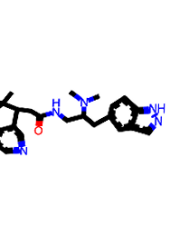 CN(C)C(CNC(=O)CC(c1cccnc1)C1(C)CC1)Cc1ccc2[nH]ncc2c1